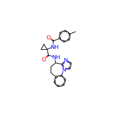 Cc1ccc(C(=O)NC2(C(=O)NC3CCc4ccccc4-n4ccnc43)CC2)cc1